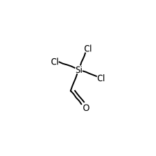 O=C[Si](Cl)(Cl)Cl